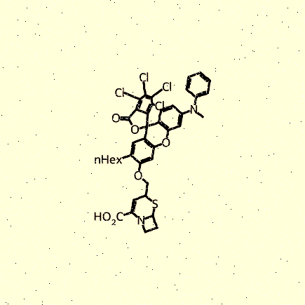 CCCCCCc1cc2c(cc1OCC1C=C(C(=O)O)N3CCC3S1)Oc1cc(N(C)c3ccccc3)ccc1C21OC(=O)c2c(Cl)c(Cl)c(Cl)c(Cl)c21